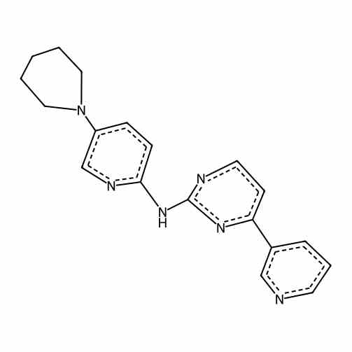 c1cncc(-c2ccnc(Nc3ccc(N4CCCCC4)cn3)n2)c1